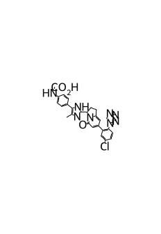 Cc1nc(C2CCc3cc(-c4cc(Cl)ccc4-n4cnnn4)cc(=O)n32)[nH]c1-c1ccc(NC(=O)O)cc1